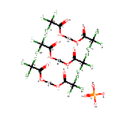 O=C([O][Al+][O]C(=O)C(Cl)(Cl)Cl)C(Cl)(Cl)Cl.O=C([O][Al+][O]C(=O)C(Cl)(Cl)Cl)C(Cl)(Cl)Cl.O=C([O][Al+][O]C(=O)C(Cl)(Cl)Cl)C(Cl)(Cl)Cl.O=P([O-])([O-])[O-]